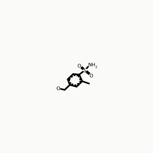 Cc1cc(C[O])ccc1S(N)(=O)=O